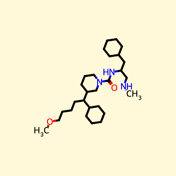 CNCC(CC1CCCCC1)NC(=O)N1CCCC(C(CCCCOC)C2CCCCC2)C1